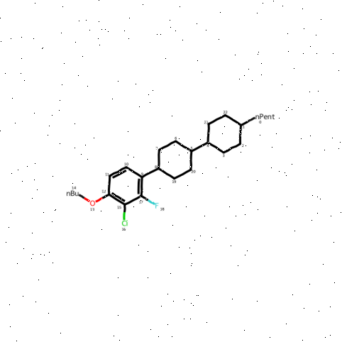 CCCCCC1CCC(C2CCC(c3ccc(OCCCC)c(Cl)c3F)CC2)CC1